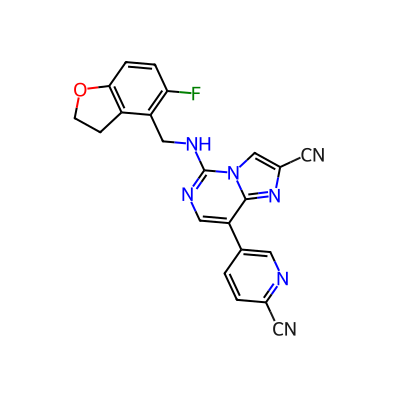 N#Cc1ccc(-c2cnc(NCc3c(F)ccc4c3CCO4)n3cc(C#N)nc23)cn1